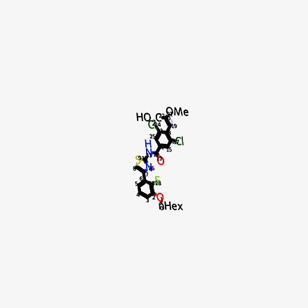 CCCCCCOc1cccc(-c2csc(NC(=O)c3cc(Cl)c(/C=C(/OC)C(=O)O)c(Cl)c3)n2)c1F